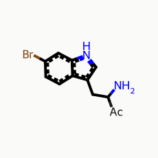 CC(=O)C(N)Cc1c[nH]c2cc(Br)ccc12